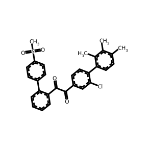 Cc1ccc(-c2ccc(C(=O)C(=O)c3ccccc3-c3ccc(S(C)(=O)=O)cc3)cc2Cl)c(C)c1C